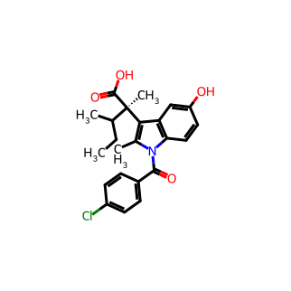 CCC(C)[C@@](C)(C(=O)O)c1c(C)n(C(=O)c2ccc(Cl)cc2)c2ccc(O)cc12